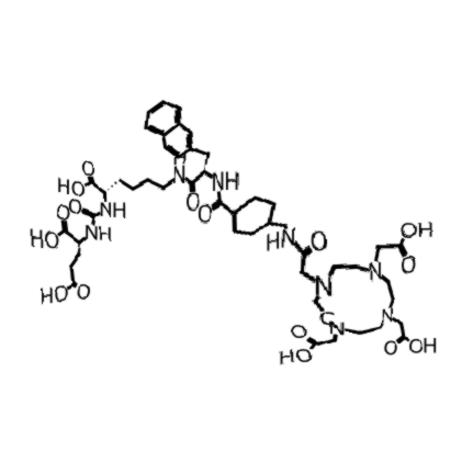 O=C(O)CC[C@H](NC(=O)N[C@@H](CCCCNC(=O)[C@@H](Cc1ccc2ccccc2c1)NC(=O)C1CCC(CNC(=O)CN2CCN(CC(=O)O)CCN(CC(=O)O)CCN(CC(=O)O)CC2)CC1)C(=O)O)C(=O)O